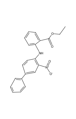 CCOC(=O)c1ccccc1Nc1ccc(-c2ccccc2)cc1[N+](=O)[O-]